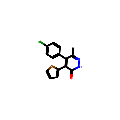 Cc1n[nH]c(=O)c(-c2cccs2)c1-c1ccc(Cl)cc1